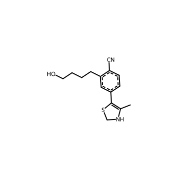 CC1=C(c2ccc(C#N)c(CCCCO)c2)SCN1